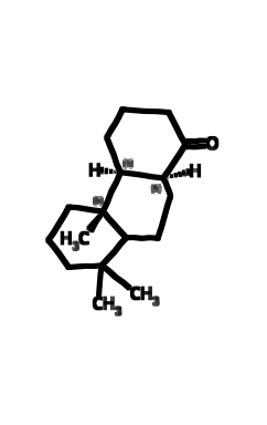 CC1(C)CCC[C@@]2(C)C1CC[C@@H]1C(=O)CCC[C@@H]12